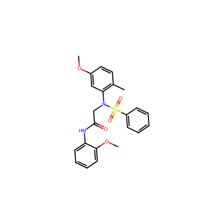 COc1ccc(C)c(N(CC(=O)Nc2ccccc2OC)S(=O)(=O)c2ccccc2)c1